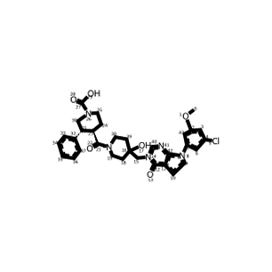 COc1cc(Cl)cc(-n2ccc3c(=O)n(CC4(O)CCN(C(=O)[C@@H]5CCN(C(=O)O)C[C@H]5c5ccccc5)CC4)cnc32)c1